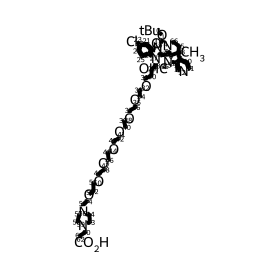 CC(C)(C)OC(=O)N1CCC(C)(c2ccncc2N(C=O)Cc2nc3cc(Cl)ccc3n2CCCCOCCOCCOCCOCCOCCOCCOCCOCCN2CCN(CCC(=O)O)CC2)CC1